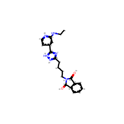 CCNc1cc(-c2nc(CCCCN3C(=O)c4ccccc4C3=O)n[nH]2)ccn1